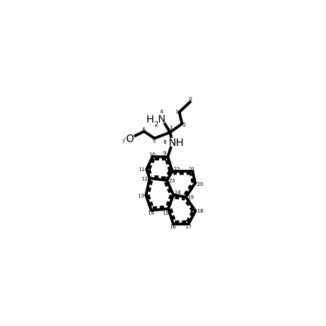 CCCC(N)(CC[O])Nc1ccc2ccc3cccc4ccc1c2c34